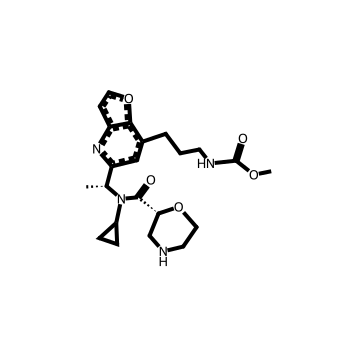 COC(=O)NCCCc1cc([C@@H](C)N(C(=O)[C@H]2CNCCO2)C2CC2)nc2ccoc12